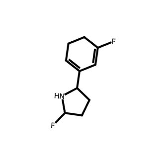 FC1=CC(C2CCC(F)N2)=CCC1